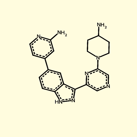 Nc1cc(-c2ccc3[nH]nc(-c4cncc(N5CCC(N)CC5)n4)c3c2)ccn1